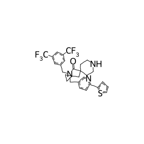 O=C(N(Cc1ccc(-c2cccs2)nc1)Cc1cc(C(F)(F)F)cc(C(F)(F)F)c1)C1(CC2CC2)CCNCC1